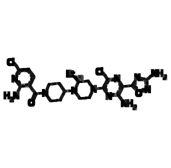 CC[C@H]1CN(c2nc(N)c(-c3nc(N)no3)nc2Cl)CCN1C1CCN(C(=O)c2ccc(Cl)nc2N)CC1